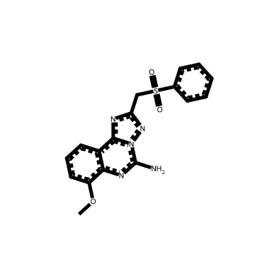 COc1cccc2c1nc(N)n1nc(CS(=O)(=O)c3ccccc3)nc21